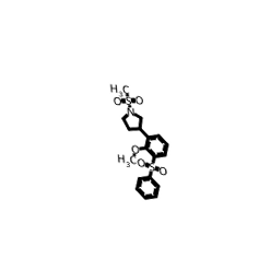 COc1c(C2CCN(S(C)(=O)=O)C2)cccc1S(=O)(=O)c1ccccc1